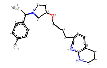 O=C(O)C(c1ccc(C(F)(F)F)cc1)N1CCC(OCCCc2ccc3c(n2)NCCC3)C1